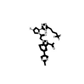 CC(=O)c1nn(CC(=O)N2C[C@H](F)C[C@H]2c2nnc(CCCC(F)(F)F)[nH]2)c2ccc(-c3cnc(C)nc3)cc12